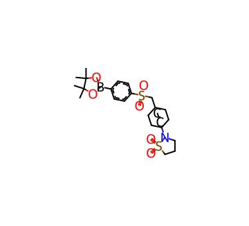 CC1(C)OB(c2ccc(S(=O)(=O)CC34CCC(N5CCCS5(=O)=O)(CC3)CC4)cc2)OC1(C)C